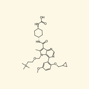 COc1ccc(OCC2CC2)c(-c2ncnc3c(C(=O)N[C@H]4CC[C@H](NC(=O)O)CC4)c(C)n(COCC[Si](C)(C)C)c23)c1